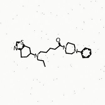 CCCN(CCCCC(=O)N1CCN(c2ccccc2)CC1)C1CCc2ncsc2C1